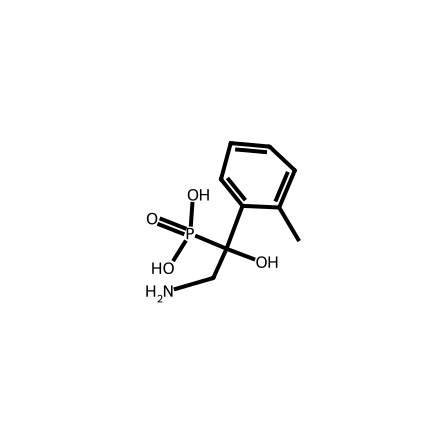 Cc1ccccc1C(O)(CN)P(=O)(O)O